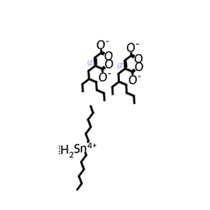 CCCCC(CC)C/C(=C/C(=O)[O-])C(=O)[O-].CCCCC(CC)C/C(=C/C(=O)[O-])C(=O)[O-].CCCCC[CH2][SnH2+4][CH2]CCCCC